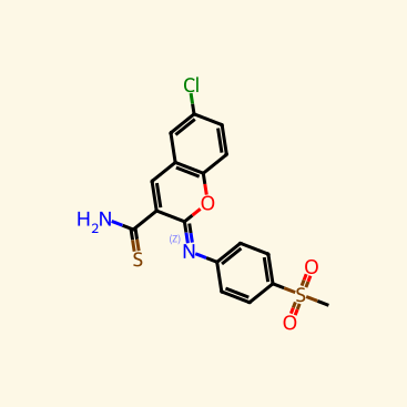 CS(=O)(=O)c1ccc(/N=c2\oc3ccc(Cl)cc3cc2C(N)=S)cc1